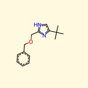 CC(C)(C)c1c[nH]c(COCc2ccccc2)n1